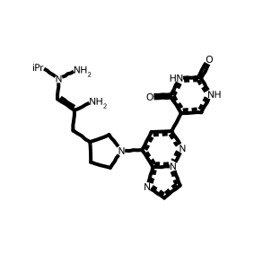 CC(C)N(N)/C=C(\N)CC1CCN(c2cc(-c3c[nH]c(=O)[nH]c3=O)nn3ccnc23)C1